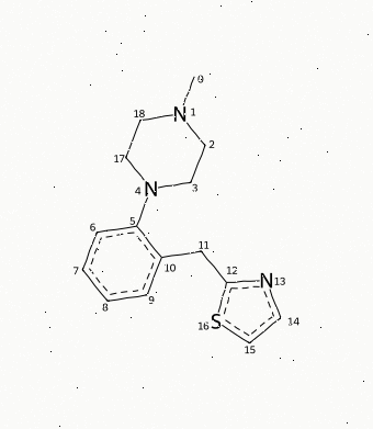 CN1CCN(c2ccccc2Cc2nccs2)CC1